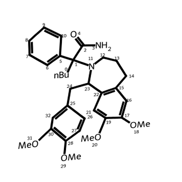 CCCCC(C(N)=O)(c1ccccc1)N1CCCc2cc(OC)c(OC)cc2C1Cc1ccc(OC)c(OC)c1